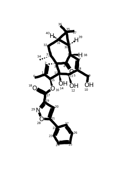 CC1=C[C@]23C(=O)[C@@H](C=C(CO)[C@@H](O)[C@]2(O)[C@H]1OC(=O)c1cc(-c2ccccc2)on1)[C@H]1[C@@H](C[C@H]3C)C1(C)C